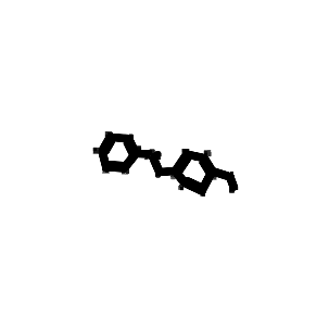 CCc1ccc(C[Se]c2ccccc2)cc1